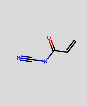 C=CC(=O)[N]C#N